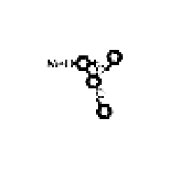 COc1ccc(F)c(-c2ccc(OCc3ccccc3)cc2OCc2ccccc2)c1